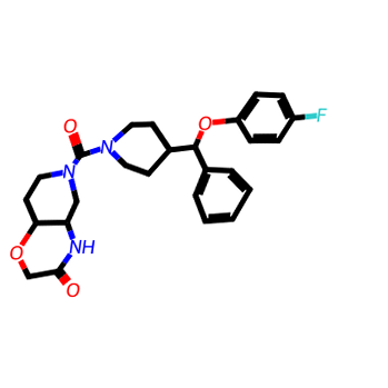 O=C1COC2CCN(C(=O)N3CCC(C(Oc4ccc(F)cc4)c4ccccc4)CC3)CC2N1